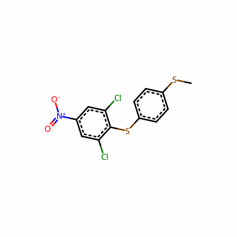 CSc1ccc(Sc2c(Cl)cc([N+](=O)[O-])cc2Cl)cc1